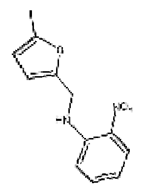 Cc1ccc(CNc2ccccc2[N+](=O)[O-])o1